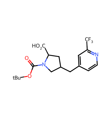 CC(C)(C)OC(=O)N1CC(Cc2ccnc(C(F)(F)F)c2)CC1C(=O)O